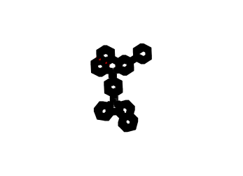 C1=CC(c2ccc(N(c3ccccc3)c3ccc(-n4c5ccccc5c5c6ccccc6ccc54)cc3)c(-c3ccccc3)c2)=CCC1